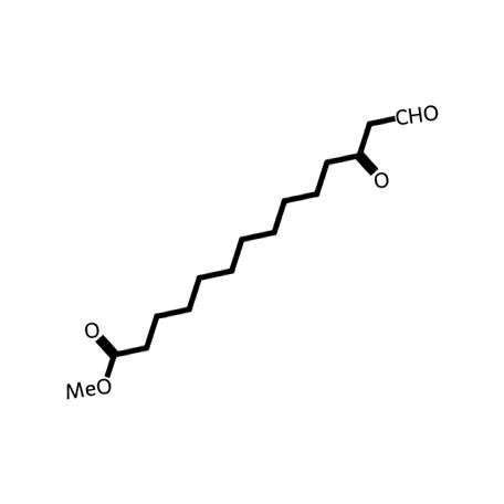 COC(=O)CCCCCCCCCCC(=O)CC=O